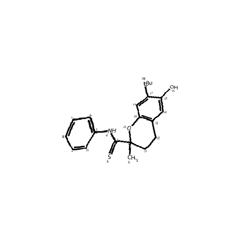 CC1(C(=S)Nc2ccccc2)CCc2cc(O)c(C(C)(C)C)cc2O1